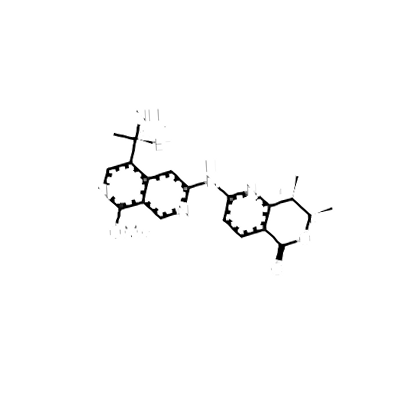 CC[C@@](C)(N)c1cnc(OC)c2cnc(Nc3ccc4c(n3)[C@@H](C)[C@@H](C)OC4=O)cc12